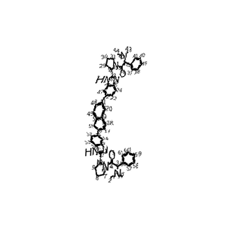 CN(C)C(C(=O)N1CCC[C@H]1c1nc2cc(-c3ccc4cc(-c5ccc6nc([C@@H]7CCCN7C(=O)C(c7ccccc7)N(C)C)[nH]c6c5)ccc4c3)ccc2[nH]1)c1ccccc1